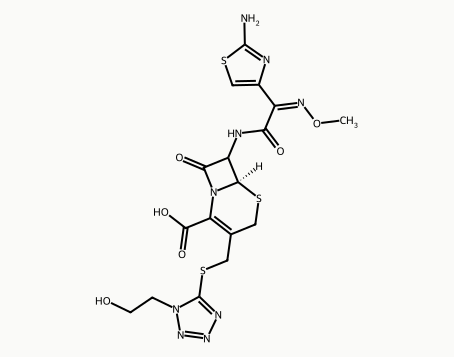 CO/N=C(\C(=O)NC1C(=O)N2C(C(=O)O)=C(CSc3nnnn3CCO)CS[C@H]12)c1csc(N)n1